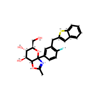 CC1=NC2(c3ccc(F)c(Cc4cc5ccccc5s4)c3)O[C@H](CO)[C@@H](O)[C@H](O)C2O1